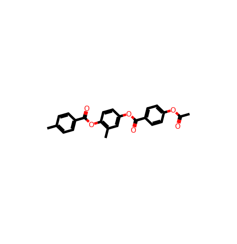 CC(=O)Oc1ccc(C(=O)Oc2ccc(OC(=O)c3ccc(C)cc3)c(C)c2)cc1